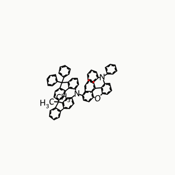 CC1(C)c2ccccc2-c2ccc(N(c3cccc4c3-c3ccccc3C4(c3ccccc3)c3ccccc3)c3ccc4c5c(cccc35)-c3c(cccc3N(c3ccccc3)c3ccccc3)O4)cc21